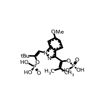 COc1ccc2c(C(OP(=O)(O)O)=C(C)C)nn(/C=C(\OP(=O)(O)O)C(C)(C)C)c2c1